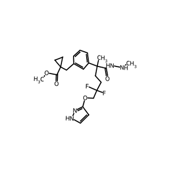 CNNC(=O)C(C)(CCC(F)(F)COc1cc[nH]n1)c1cccc(CC2(C(=O)OC)CC2)c1